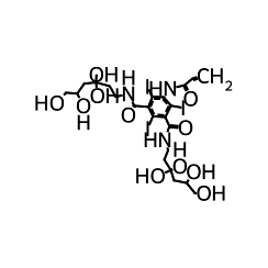 C=CC(=O)Nc1c(I)c(C(=O)NCCC(O)(O)CC(O)CO)c(I)c(C(=O)NCCC(O)(O)CC(O)CO)c1I